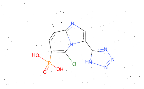 O=P(O)(O)c1ccc2ncc(-c3nnn[nH]3)n2c1Cl